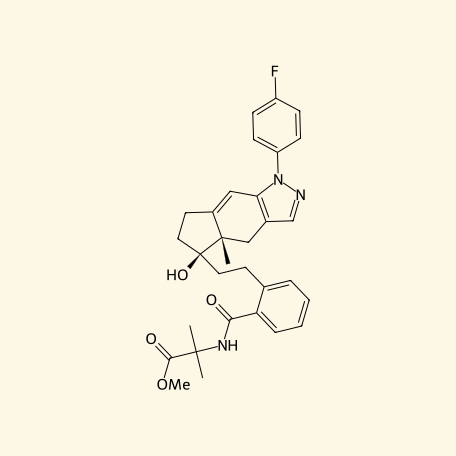 COC(=O)C(C)(C)NC(=O)c1ccccc1CC[C@]1(O)CCC2=Cc3c(cnn3-c3ccc(F)cc3)C[C@@]21C